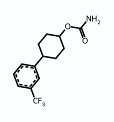 NC(=O)OC1CCC(c2cccc(C(F)(F)F)c2)CC1